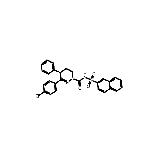 O=C(NS(=O)(=O)c1ccc2ccccc2c1)N1CCC(c2ccccc2)C(c2ccc(Cl)cc2)=N1